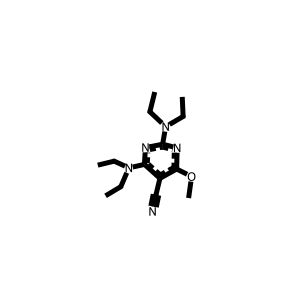 CCN(CC)c1nc(OC)c(C#N)c(N(CC)CC)n1